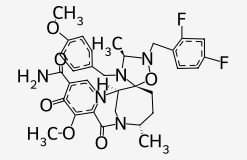 COc1ccc(CN2[C@@H](C)N(Cc3ccc(F)cc3F)O[C@@]23CC[C@H](C)N2C[C@H]3n3cc(C(N)=O)c(=O)c(OC)c3C2=O)cc1